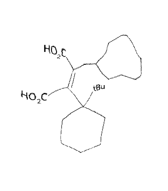 CC(C)(C)C1(C(C(=O)O)=C(C(=O)O)C2CCCCC2)CCCCC1